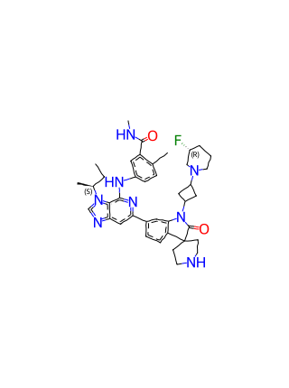 CC[C@H](C)n1cnc2cc(-c3ccc4c(c3)N(C3CC(N5CCC[C@@H](F)C5)C3)C(=O)C43CCNCC3)nc(Nc3ccc(C)c(C(=O)NC)c3)c21